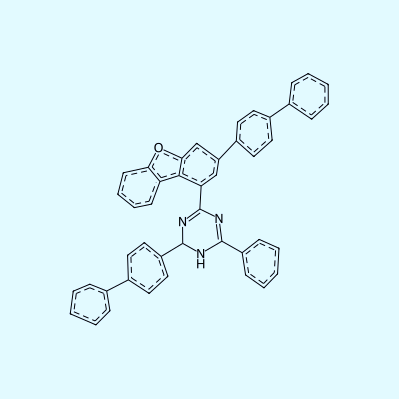 c1ccc(C2=NC(c3cc(-c4ccc(-c5ccccc5)cc4)cc4oc5ccccc5c34)=NC(c3ccc(-c4ccccc4)cc3)N2)cc1